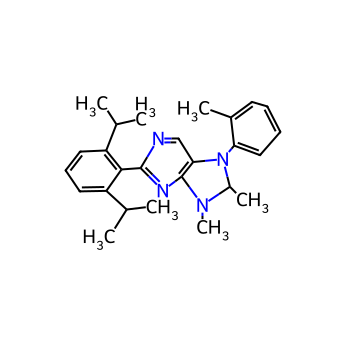 Cc1ccccc1N1c2cnc(-c3c(C(C)C)cccc3C(C)C)nc2N(C)C1C